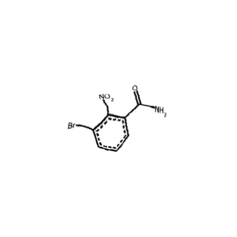 NC(=O)c1cccc(Br)c1[N+](=O)[O-]